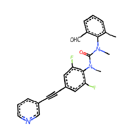 Cc1cccc(C=O)c1N(C)C(=O)N(C)c1c(F)cc(C#Cc2cccnc2)cc1F